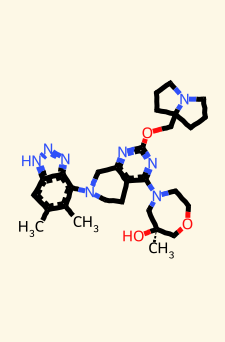 Cc1cc2[nH]nnc2c(N2CCc3c(nc(OCC45CCCN4CCC5)nc3N3CCOC[C@@](C)(O)C3)C2)c1C